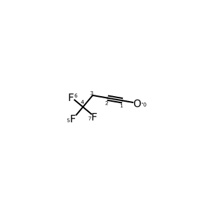 [O]C#CCC(F)(F)F